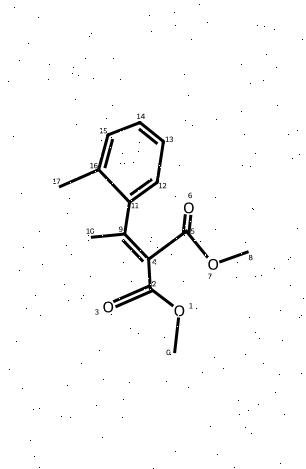 COC(=O)C(C(=O)OC)=C(C)c1ccccc1C